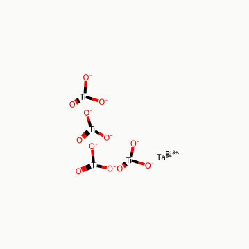 [Bi+3].[O]=[Ti]([O-])[O-].[O]=[Ti]([O-])[O-].[O]=[Ti]([O-])[O-].[O]=[Ti]([O-])[O-].[Ta+5]